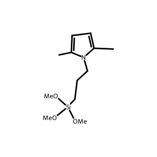 CO[Si](CCCn1c(C)ccc1C)(OC)OC